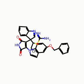 CCC(SC(=N)N)C1(C2=C(n3ccc4cc(OCc5ccccc5)ccc43)C(=O)NC2=O)C=Nc2ccccc21